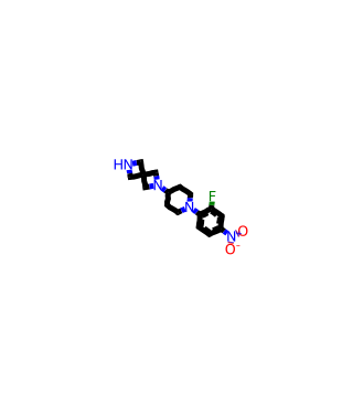 O=[N+]([O-])c1ccc(N2CCC(N3CC4(CNC4)C3)CC2)c(F)c1